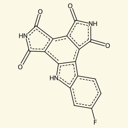 O=c1[nH]c(=O)c2c1c1[nH]c3cc(F)ccc3c1c1c(=O)[nH]c(=O)c21